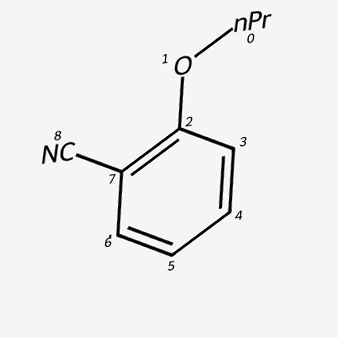 CCCOc1ccc[c]c1C#N